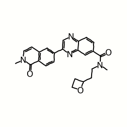 CN(CCC1CCO1)C(=O)c1ccc2ncc(-c3ccc4c(=O)n(C)ccc4c3)nc2c1